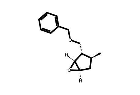 C[C@H]1C[C@H]2O[C@H]2[C@@H]1COCc1ccccc1